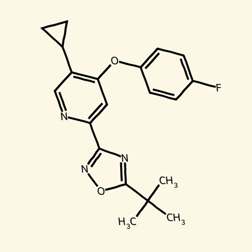 CC(C)(C)c1nc(-c2cc(Oc3ccc(F)cc3)c(C3CC3)cn2)no1